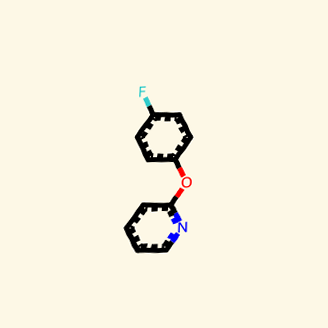 Fc1ccc(Oc2ccccn2)cc1